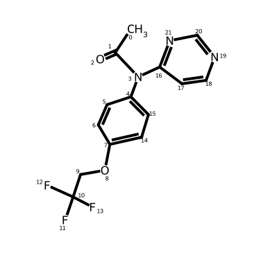 CC(=O)N(c1ccc(OCC(F)(F)F)cc1)c1ccncn1